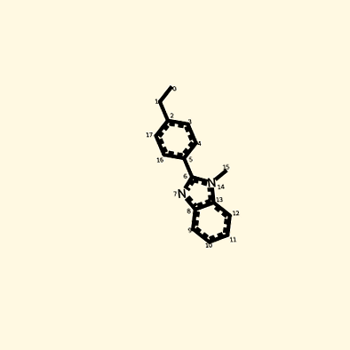 CCc1ccc(-c2nc3ccccc3n2C)cc1